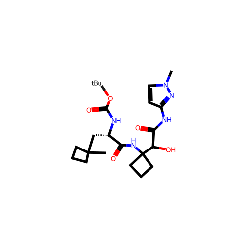 Cn1ccc(NC(=O)C(O)C2(NC(=O)[C@H](CC3(C)CCC3)NC(=O)OC(C)(C)C)CCC2)n1